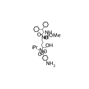 COC(=O)N[C@H](C(=O)NCCCC(CO)N(CC(C)C)S(=O)(=O)c1ccc(N)cc1)C(c1ccccc1)c1ccccc1